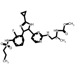 CCCS(=O)(=O)Nc1cccc(C2N=C(C3CC3)NC2c2ccnc(NC[C@H](C)NC(=O)OC)n2)c1F